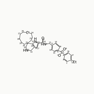 CCc1ccc(S(=O)(=O)c2ccc(CNC(=O)c3cc4c([nH]3)C3(CCCCCCCCC3)CNC4)cc2)cc1